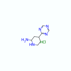 Cl.NC1CC(c2ncncn2)CCN1